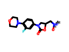 CC(=O)[N@@H+]([O-])CC1CN(c2ccc(N3CCOCC3)c(F)c2)C(=O)O1